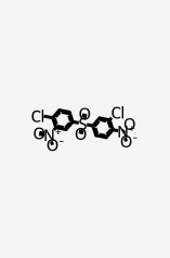 O=[N+]([O-])c1ccc(S(=O)(=O)c2ccc(Cl)c([N+](=O)[O-])c2)cc1Cl